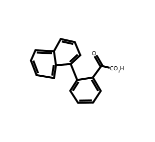 O=C(O)C(=O)c1ccccc1-c1cccc2ccccc12